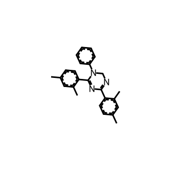 Cc1ccc(C2=NCN(c3ccccc3)C(c3ccc(C)cc3C)=N2)c(C)c1